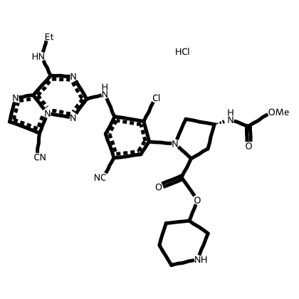 CCNc1nc(Nc2cc(C#N)cc(N3C[C@H](NC(=O)OC)CC3C(=O)OC3CCCNC3)c2Cl)nn2c(C#N)cnc12.Cl